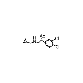 CC(=O)[C@H](CNCC1CC1)c1ccc(Cl)c(Cl)c1